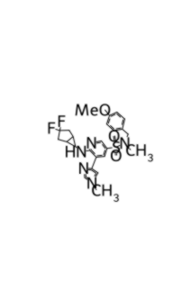 COc1ccc(CN(C)S(=O)(=O)c2cnc(NC3C4CC(F)(F)CC43)c(-c3cn(C)cn3)c2)cc1